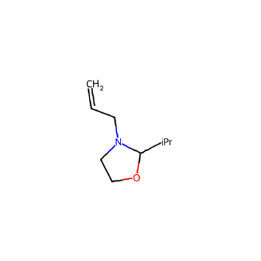 C=CCN1CCOC1C(C)C